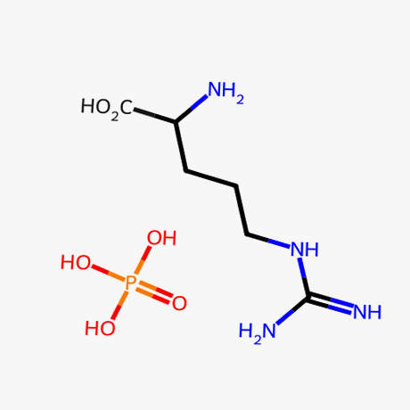 N=C(N)NCCCC(N)C(=O)O.O=P(O)(O)O